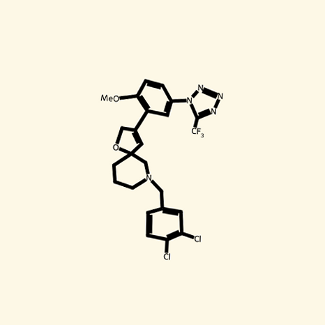 COc1ccc(-n2nnnc2C(F)(F)F)cc1C1=CC2(CCCN(Cc3ccc(Cl)c(Cl)c3)C2)OC1